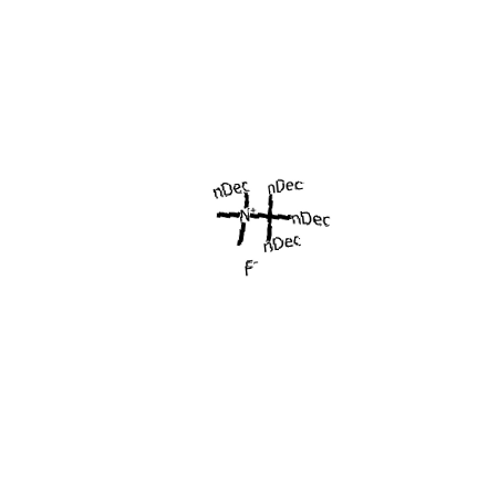 CCCCCCCCCCC(CCCCCCCCCC)(CCCCCCCCCC)[N+](C)(C)CCCCCCCCCC.[F-]